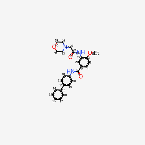 CCOc1ccc(C(=O)Nc2ccc(-c3ccccc3)cc2)cc1NC(=O)CN1CCOCC1